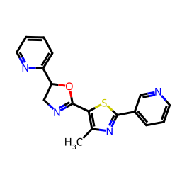 Cc1nc(-c2cccnc2)sc1C1=NCC(c2ccccn2)O1